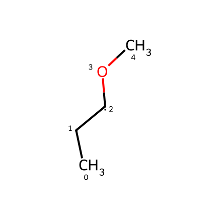 CC[CH]OC